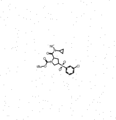 CC(C)(C)OC(=O)N1CC(S(=O)(=O)c2cccc(Cl)c2)CC1C(=O)N(C#N)C1CC1